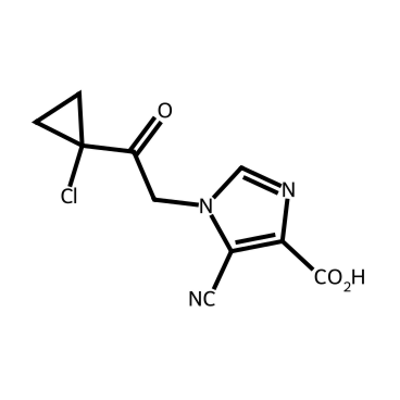 N#Cc1c(C(=O)O)ncn1CC(=O)C1(Cl)CC1